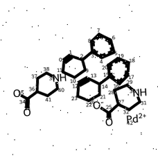 C1#CC(c2ccccc2)CCC1.C1#CC(c2ccccc2)CCC1.O=C([O-])C1CCNCC1.O=C([O-])C1CCNCC1.[Pd+2]